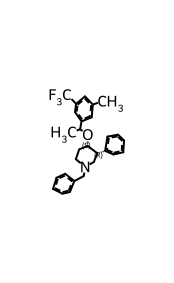 Cc1cc(C(C)O[C@H]2CCN(Cc3ccccc3)C[C@H]2c2ccccc2)cc(C(F)(F)F)c1